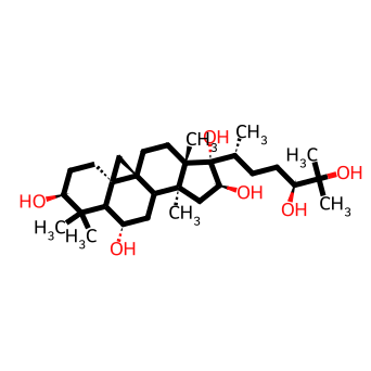 C[C@H](CC[C@H](O)C(C)(C)O)[C@@]1(O)[C@@H](O)C[C@@]2(C)C3C[C@H](O)C4C(C)(C)[C@@H](O)CC[C@@]45C[C@@]35CC[C@]12C